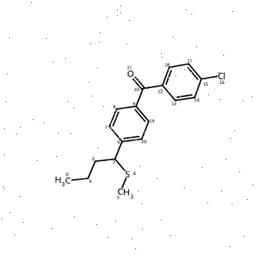 CCCC(SC)c1ccc(C(=O)c2ccc(Cl)cc2)cc1